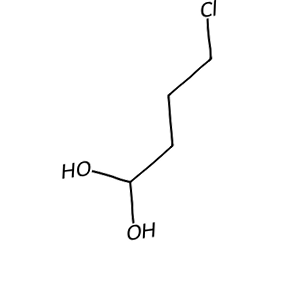 OC(O)CCCCl